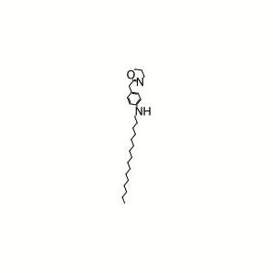 CCCCCCCCCCCCCCCCNc1ccc(CC2=NCCCO2)cc1